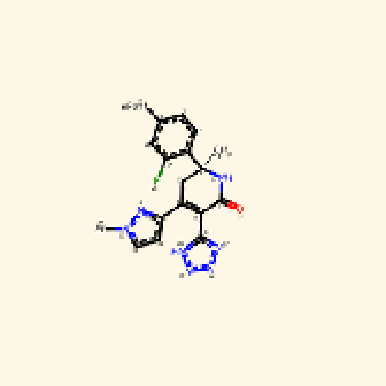 CCCCCc1ccc([C@]2(C)CC(c3ccn(CC)n3)=C(c3nnn[nH]3)C(=O)N2)c(F)c1